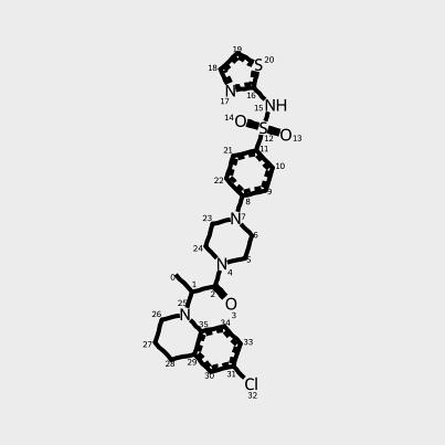 CC(C(=O)N1CCN(c2ccc(S(=O)(=O)Nc3nccs3)cc2)CC1)N1CCCc2cc(Cl)ccc21